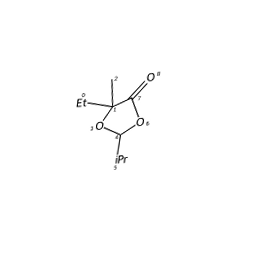 CCC1(C)OC(C(C)C)OC1=O